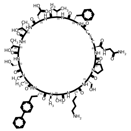 CC(C)[C@@H]1NC(=O)[C@H](Cc2ccccc2)NC(=O)CSC[C@@H](C(=O)NCC(N)=O)NC(=O)[C@@H]2CCCN2C(=O)[C@H](CO)NC(=O)[C@H](CCCCN)NC(=O)[C@H](C)N(C)C(=O)[C@H](CCc2ccc(-c3ccccc3)cc2)NC(=O)[C@H](C)N(C)C(=O)[C@H](CO)NC(=O)[C@H]([C@@H](C)O)NC(=O)[C@H]([C@@H](C)O)NC(=O)[C@H](CC(=O)O)NC1=O